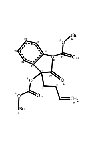 C=CCCC1(OC(=O)OC(C)(C)C)C(=O)N(C(=O)OC(C)(C)C)c2ccccc21